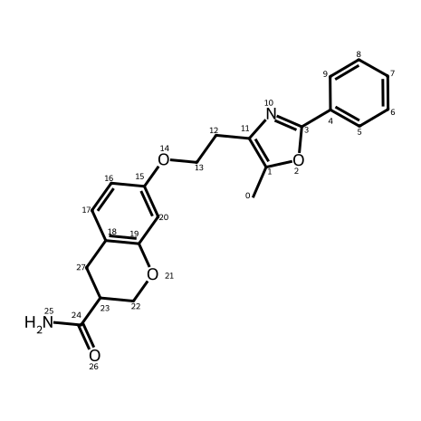 Cc1oc(-c2ccccc2)nc1CCOc1ccc2c(c1)OCC(C(N)=O)C2